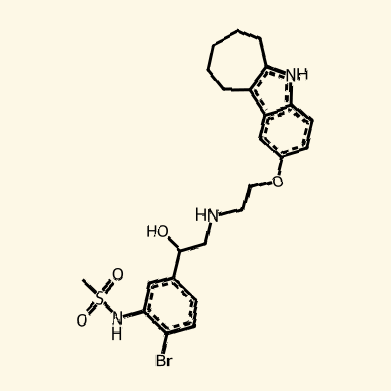 CS(=O)(=O)Nc1cc(C(O)CNCCOc2ccc3[nH]c4c(c3c2)CCCCC4)ccc1Br